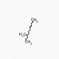 C=CCC=CCCCC(=C)CC=C